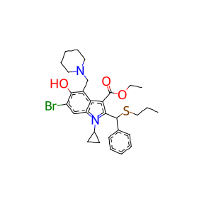 CCCSC(c1ccccc1)c1c(C(=O)OCC)c2c(CN3CCCCC3)c(O)c(Br)cc2n1C1CC1